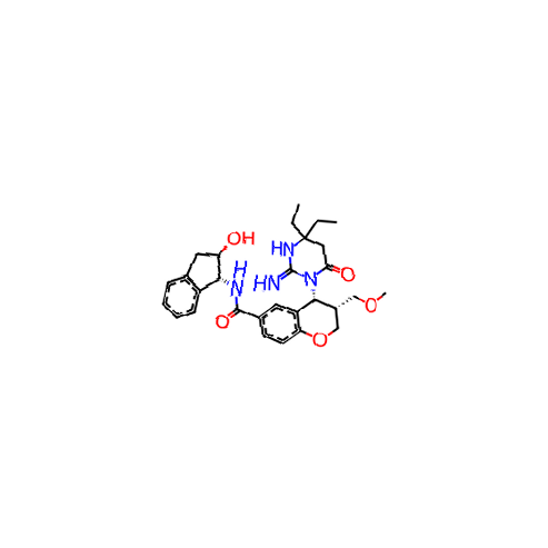 CCC1(CC)CC(=O)N([C@H]2c3cc(C(=O)N[C@@H]4c5ccccc5C[C@H]4O)ccc3OC[C@H]2COC)C(=N)N1